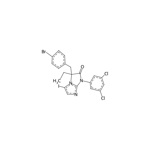 CCC1(Cc2ccc(Br)cc2)C(=O)N(c2cc(Cl)cc(Cl)c2)c2ncc(I)n21